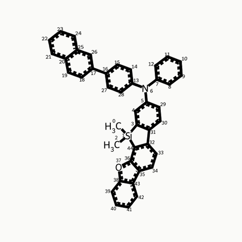 C[Si]1(C)c2cc(N(c3ccccc3)c3ccc(-c4ccc5ccccc5c4)cc3)ccc2-c2ccc3c(oc4ccccc43)c21